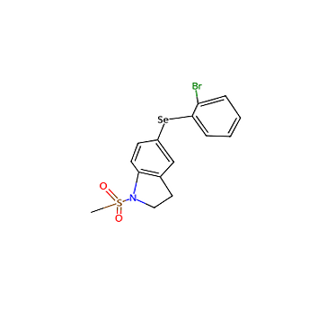 CS(=O)(=O)N1CCc2cc([Se]c3ccccc3Br)ccc21